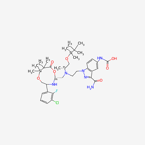 C[C@H](CO[Si](C)(C)C(C)(C)C)N(CCn1nc(C(N)=O)c2cc(NC(=O)O)ccc21)C[C@@H]1NC(c2cccc(Cl)c2F)CO[Si](C)(C)C(C)(C)C(=O)O1